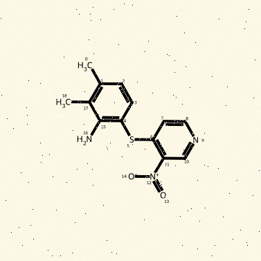 Cc1ccc(Sc2ccncc2[N+](=O)[O-])c(N)c1C